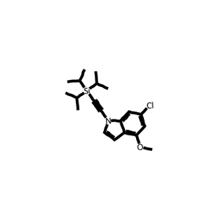 COc1cc(Cl)cc2c1ccn2C#C[Si](C(C)C)(C(C)C)C(C)C